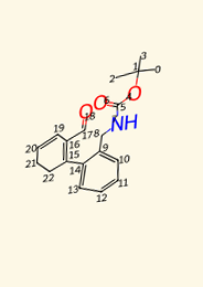 CC(C)(C)OC(=O)NCc1ccccc1C1=C(C=O)C=CCC1